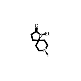 CCN1C(=O)CCC12CCN(I)CC2